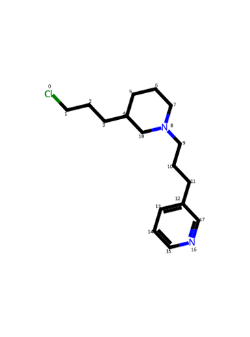 ClCCCC1CCCN(CCCc2cccnc2)C1